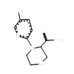 COC(=O)C1CNCCN1c1ccc(C#N)cn1